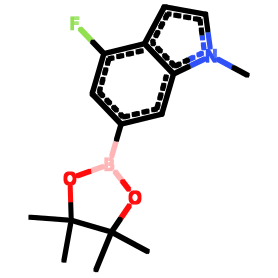 Cn1ccc2c(F)cc(B3OC(C)(C)C(C)(C)O3)cc21